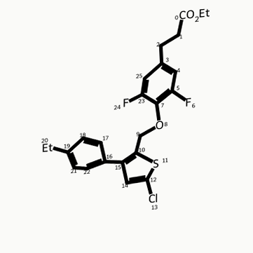 CCOC(=O)CCc1cc(F)c(OCc2sc(Cl)cc2-c2ccc(CC)cc2)c(F)c1